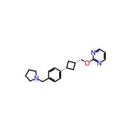 c1cnc(OC[C@H]2C[C@@H](c3ccc(CN4CCCC4)cc3)C2)nc1